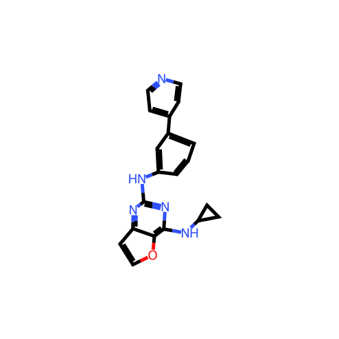 c1cc(Nc2nc(NC3CC3)c3occc3n2)cc(-c2ccncc2)c1